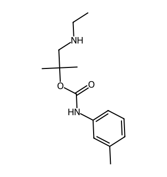 CCNCC(C)(C)OC(=O)Nc1cccc(C)c1